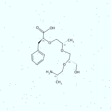 C[C@H](N)CO[C@@H](CO)CO[C@@H](C)CO[C@@H](Cc1ccccc1)C(=O)O